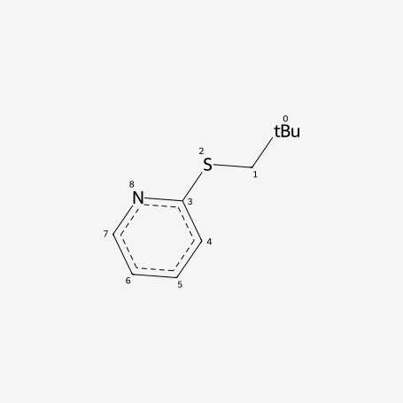 CC(C)(C)CSc1ccccn1